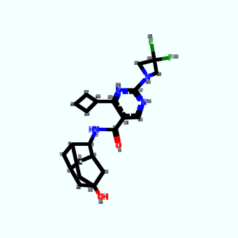 O=C(NC1C2CC3CC1CC(O)(C3)C2)c1cnc(N2CC(F)(F)C2)nc1C1CCC1